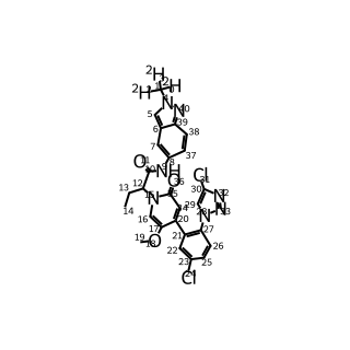 [2H]C([2H])([2H])n1cc2cc(NC(=O)C(CC)n3cc(OC)c(-c4cc(Cl)ccc4-n4cc(Cl)nn4)cc3=O)ccc2n1